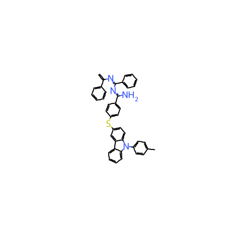 C=C(/N=C(\N=C(/N)c1ccc(Sc2ccc3c(c2)c2ccccc2n3-c2ccc(C)cc2)cc1)c1ccccc1)c1ccccc1